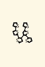 [c]1cc(-c2cc(-c3cccs3)sc2-c2cccs2)c(-c2ccc(-c3cccs3)s2)s1